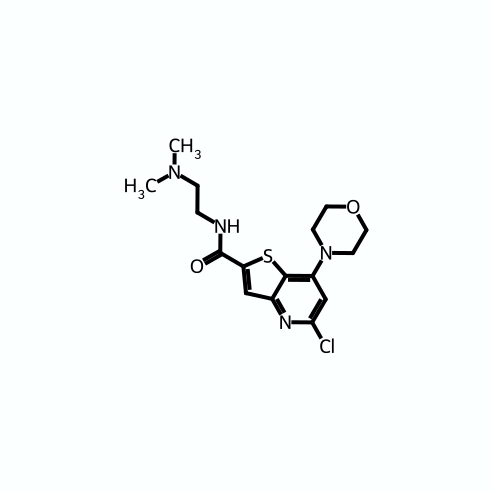 CN(C)CCNC(=O)c1cc2nc(Cl)cc(N3CCOCC3)c2s1